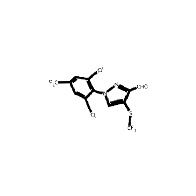 O=Cc1nn(-c2c(Cl)cc(C(F)(F)F)cc2Cl)cc1SC(F)(F)F